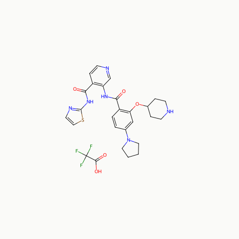 O=C(Nc1nccs1)c1ccncc1NC(=O)c1ccc(N2CCCC2)cc1OC1CCNCC1.O=C(O)C(F)(F)F